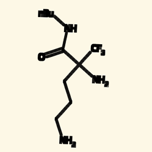 CCCCNC(=O)C(N)(CCCN)C(F)(F)F